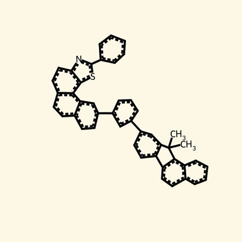 CC1(C)c2cc(-c3cccc(-c4ccc5ccc6ccc7nc(-c8ccccc8)sc7c6c5c4)c3)ccc2-c2ccc3ccccc3c21